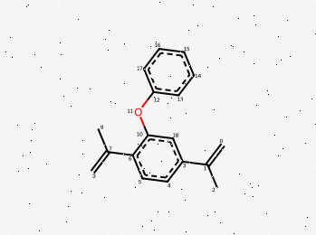 C=C(C)c1ccc(C(=C)C)c(Oc2ccccc2)c1